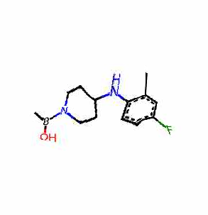 CB(O)N1CCC(Nc2ccc(F)cc2C)CC1